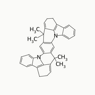 CC1(C)C2=CCCc3c2n(c2ccccc32)-c2cc3c(cc21)-n1c2c(c4ccccc41)CCC=C2C3(C)C